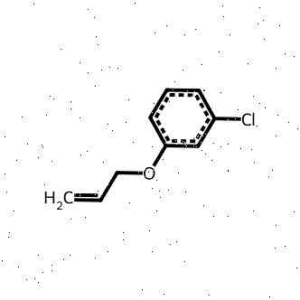 C=CCOc1cc[c]c(Cl)c1